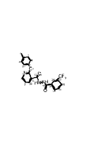 Cc1ccc(Oc2ncccc2C(=O)NNC(=O)c2cccc(C(F)(F)F)c2)cc1